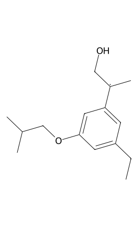 CCc1cc(OCC(C)C)cc([C](C)CO)c1